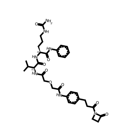 CC(C)[C@H](NC(=O)COCC(=O)Nc1ccc(CCC(=O)N2CCC2=O)cc1)C(=O)N[C@@H](CCCNC(N)=O)C(=O)Nc1ccccc1